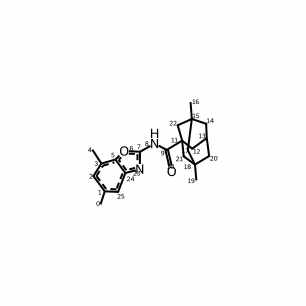 Cc1cc(C)c2oc(NC(=O)C34CC5CC(C)(CC(C)(C5)C3)C4)nc2c1